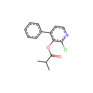 CC(C)C(=O)Oc1c(-c2ccccc2)ccnc1Cl